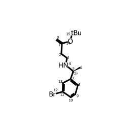 C=C(CCN[C@@H](C)c1cccc(Br)c1)OC(C)(C)C